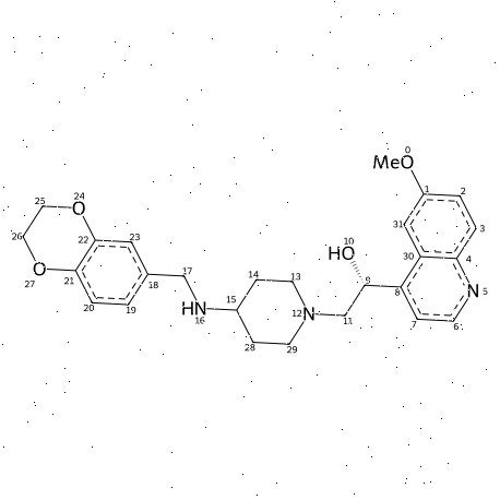 COc1ccc2nccc([C@@H](O)CN3CCC(NCc4ccc5c(c4)OCCO5)CC3)c2c1